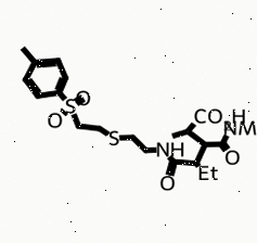 CCC(C(=O)NCCSCCS(=O)(=O)c1ccc(C)cc1)C(C(=O)NC)C(C)C(=O)O